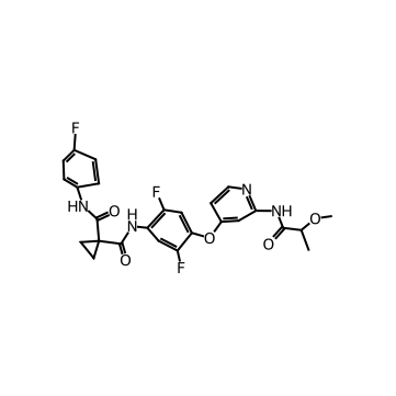 COC(C)C(=O)Nc1cc(Oc2cc(F)c(NC(=O)C3(C(=O)Nc4ccc(F)cc4)CC3)cc2F)ccn1